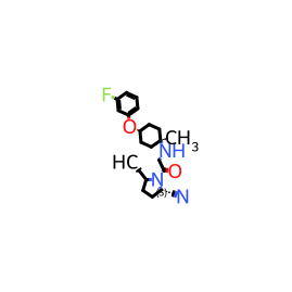 C#CC1CC[C@@H](C#N)N1C(=O)CN[C@]1(C)CC[C@@H](Oc2cccc(F)c2)CC1